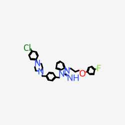 N=c1n(CCCOc2ccc(F)cc2)c2ccccc2n1Cc1ccc(CN2CCN(c3ccc(Cl)cc3)CC2)cc1